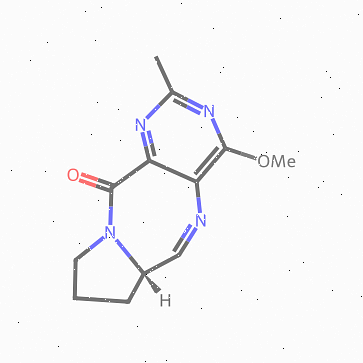 COc1nc(C)nc2c1N=C[C@@H]1CCCN1C2=O